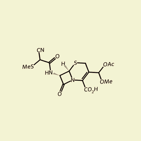 COC(OC(C)=O)C1=C(C(=O)O)N2C(=O)[C@H](NC(=O)C(C#N)SC)[C@H]2SC1